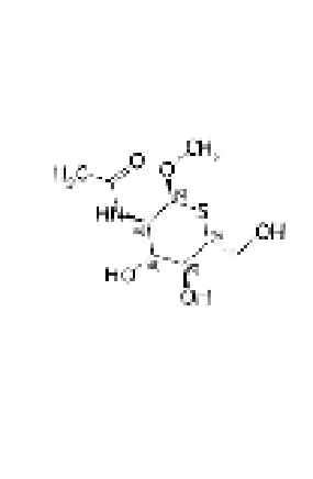 CO[C@H]1S[C@H](CO)[C@@H](O)[C@H](O)[C@H]1NC(C)=O